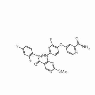 CSc1ncc(C(=O)Nc2ccc(F)cc2F)c(Nc2ccc(Oc3ccnc(C(N)=O)c3)c(F)c2)n1